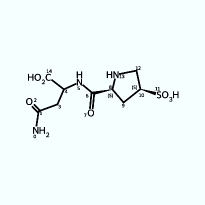 NC(=O)CC(NC(=O)[C@@H]1C[C@H](S(=O)(=O)O)CN1)C(=O)O